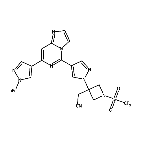 CC(C)n1cc(-c2cc3nccn3c(-c3cnn(C4(CC#N)CN(S(=O)(=O)C(F)(F)F)C4)c3)n2)cn1